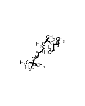 C=C(C)C.CCCCO.CCCCOC(C)(C)C